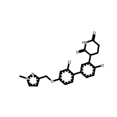 Cn1ccc(COc2ccc(-c3ccc(Cl)c(C4CCC(=O)NC4=O)c3)c(Cl)c2)n1